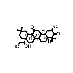 [C-]#[N+]C1=C[C@]2(C)[C@H]3CC(=O)[C@@H]4[C@@H]5CC(C)(C)CC[C@]5(C(O)CO)CC[C@@]4(C)[C@]3(C)CC[C@H]2C(C)(C)C1=O